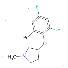 CC(C)c1cc(F)cc(F)c1OC1CCN(C)C1